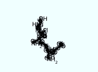 Cc1cccc2c(OC(=O)N(CCCNC(N)=O)CCN(C)C(=O)OCc3ccc(NC(=O)[C@H](CCCNC(N)=O)NC(=O)[C@@H](NC(=O)OCCOCCN4C(=O)C=CC4=O)C(C)C)cc3)cc3c(c12)[C@H](CCl)CN3C(=O)c1cn2cc(NC(=O)c3ccc(O)cc3)ccc2n1